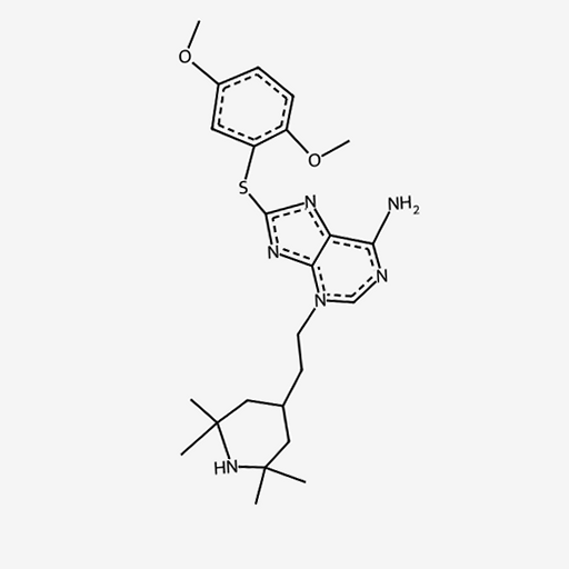 COc1ccc(OC)c(Sc2nc3c(N)ncn(CCC4CC(C)(C)NC(C)(C)C4)c-3n2)c1